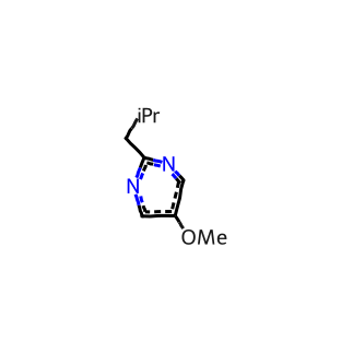 COc1cnc(CC(C)C)nc1